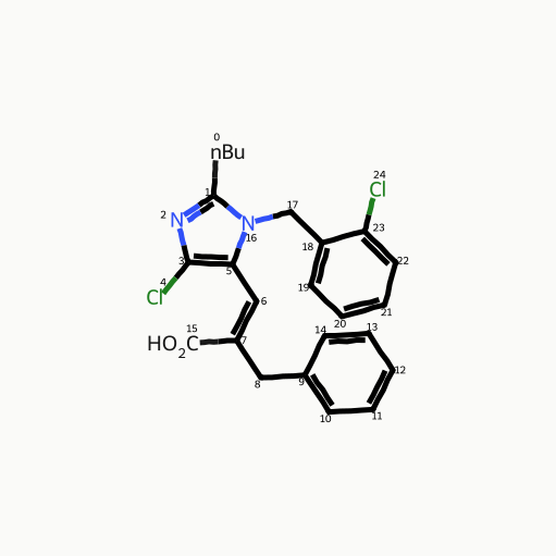 CCCCc1nc(Cl)c(C=C(Cc2ccccc2)C(=O)O)n1Cc1ccccc1Cl